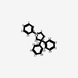 c1ccc(N2CCC(c3ccccc3)(c3ccccc3)C2)cc1